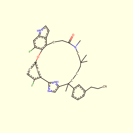 CN1CC(C)(C)CCCC(C)(c2cccc(CCC#N)c2)c2cnc([nH]2)-c2cc(ccc2F)Oc2c(F)cc3[nH]ccc3c2CCC1=O